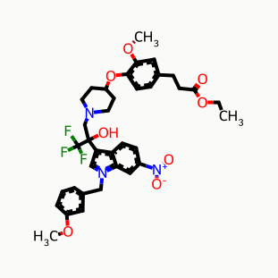 CCOC(=O)CCc1ccc(OC2CCN(CC(O)(c3cn(Cc4cccc(OC)c4)c4cc([N+](=O)[O-])ccc34)C(F)(F)F)CC2)c(OC)c1